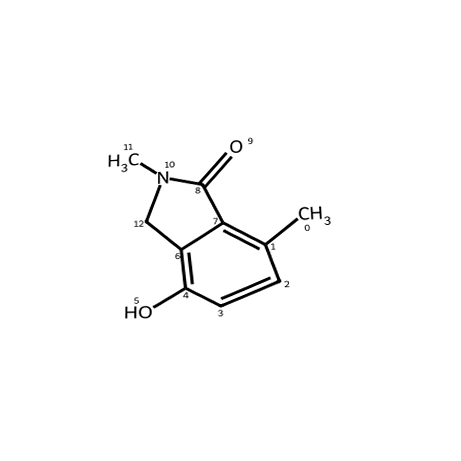 Cc1ccc(O)c2c1C(=O)N(C)C2